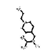 CCCN1CCC(CN(C)C(C)C)CC1